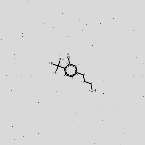 OCCCc1ccc(C(F)(F)F)c(Cl)c1